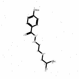 CCCCCCc1ccc(C(=O)OO[CH]COCC(CC)CCCC)cc1